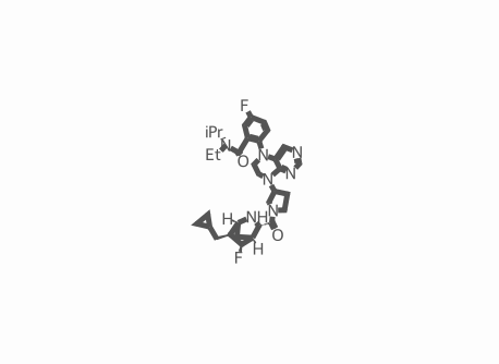 CCN(C(=O)c1cc(F)ccc1N1CCN(C2CCN(C(=O)[C@H]3N[C@H]4C[C@@H]3[C@@H](F)[C@H]4CC3CC3)C2)c2ncncc21)C(C)C